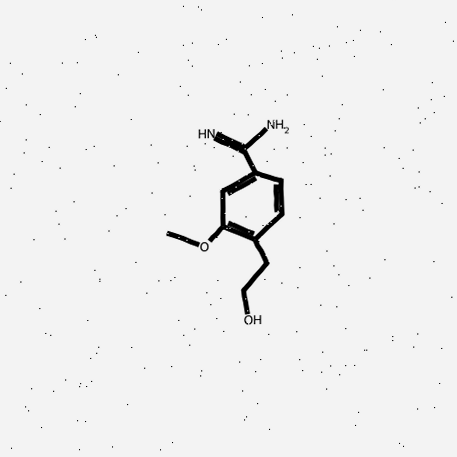 COc1cc(C(=N)N)ccc1CCO